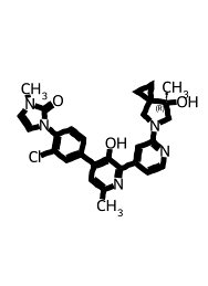 Cc1cc(-c2ccc(-n3ccn(C)c3=O)c(Cl)c2)c(O)c(-c2ccnc(N3CC4(CC4)[C@@](C)(O)C3)c2)n1